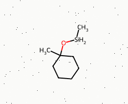 C[SiH2]OC1(C)CCCCC1